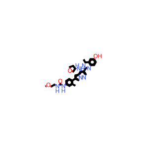 CCc1cc(O)ccc1/N=C(\N)c1cnn2cc(-c3ccc(NC(=O)NCCOC)cc3C)cc2c1N[C@H]1CCOC1